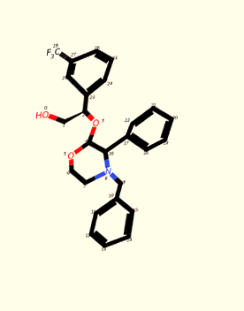 OC[C@H](OC1OCCN(Cc2ccccc2)C1c1ccccc1)c1cccc(C(F)(F)F)c1